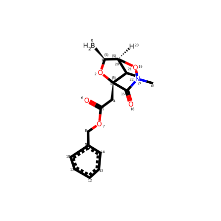 B[C@@H]1O[C@@]2(CC(=O)OCc3ccccc3)C(=O)N(C)O[C@H]1C2C